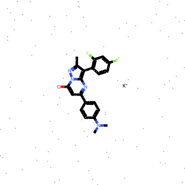 Cc1nn2c([O-])cc(-c3ccc(N(C)C)cc3)nc2c1-c1ccc(F)cc1F.[K+]